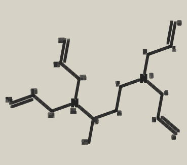 C=CCN(CC=C)CCC(C)N(CC=C)CC=C